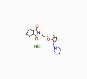 Br.O=C1c2ccccc2C(=O)N1CCCOc1sccc1CN1CCCCC1